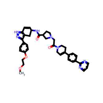 COCCOc1ccc(-c2n[nH]c3c2CC(NC(=O)C2CCN(CC(=O)N4CC=C(c5ccc(-c6ncccn6)cc5)CC4)C2)C=C3)cc1